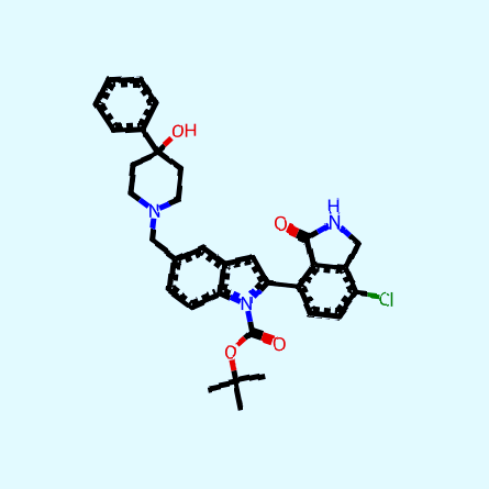 CC(C)(C)OC(=O)n1c(-c2ccc(Cl)c3c2C(=O)NC3)cc2cc(CN3CCC(O)(c4ccccc4)CC3)ccc21